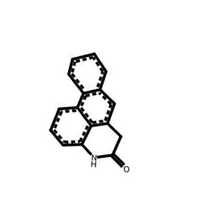 O=C1Cc2cc3ccccc3c3cccc(c23)N1